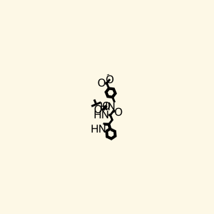 COC(=O)c1ccc(CNC(=O)C(Cc2c[nH]c3ccccc23)NC(=O)OC(C)(C)C)cc1